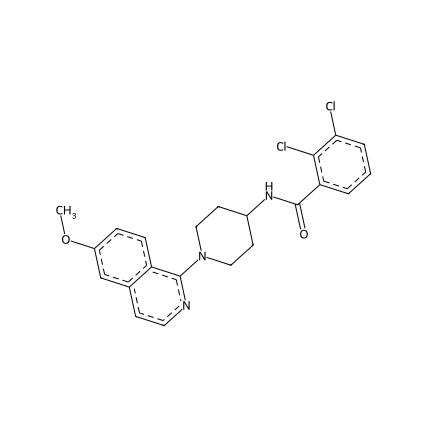 COc1ccc2c(N3CCC(NC(=O)c4cccc(Cl)c4Cl)CC3)nccc2c1